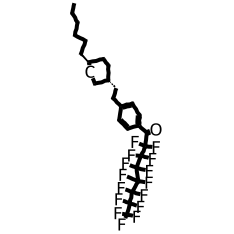 CCCCCC[C@H]1CC[C@H](CCc2ccc(C(=O)C(F)(F)C(F)(F)C(F)(F)C(F)(F)C(F)(F)C(F)(F)C(F)(F)F)cc2)CC1